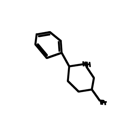 CC(C)C1CCC(c2ccccc2)NC1